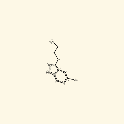 NCCCc1n[nH]c2ccc(Cl)cc12